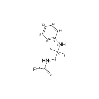 C=C(CC)NCC(C)(C)Nc1ccccc1